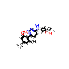 Cc1cc(C(F)(F)F)cc(O)c1-c1ccc(N[C@H]2C[C@@](O)(C(F)(F)F)C2)nn1